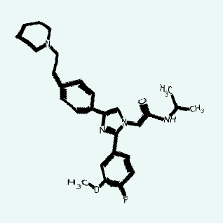 COc1cc(-c2nc(-c3ccc(CCN4CCCCC4)cc3)cn2CC(=O)NC(C)C)ccc1F